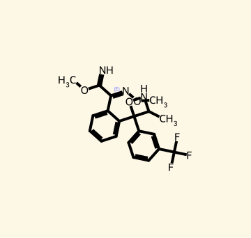 CO/N=C(/C(=N)OC)c1ccccc1C1(c2cccc(C(F)(F)F)c2)ONC1C